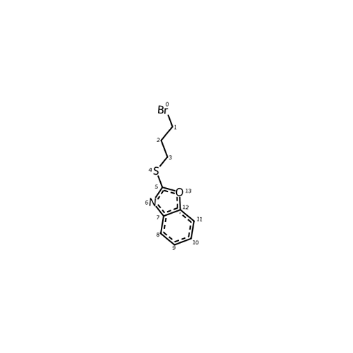 BrCCCSc1nc2ccccc2o1